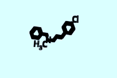 CN(C/C=C/c1ccc(Cl)cc1)Cc1ccccc1